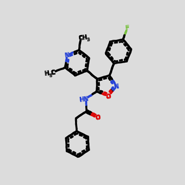 Cc1cc(-c2c(-c3ccc(F)cc3)noc2NC(=O)Cc2ccccc2)cc(C)n1